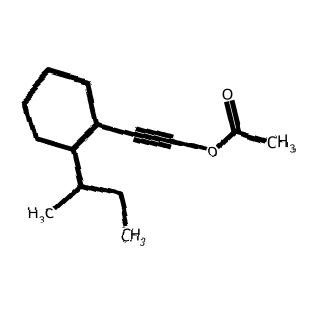 CCC(C)C1CCCCC1C#COC(C)=O